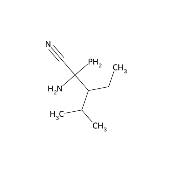 CCC(C(C)C)C(N)(P)C#N